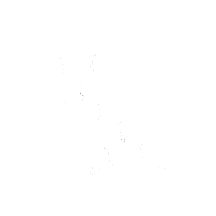 CN(CCCN(CCCl)CCCl)c1ccccc1